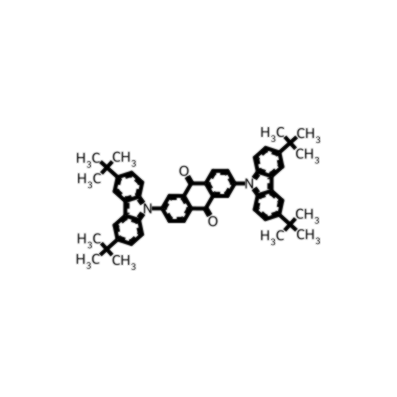 CC(C)(C)c1ccc2c(c1)c1cc(C(C)(C)C)ccc1n2-c1ccc2c(c1)C(=O)c1ccc(-n3c4ccc(C(C)(C)C)cc4c4cc(C(C)(C)C)ccc43)cc1C2=O